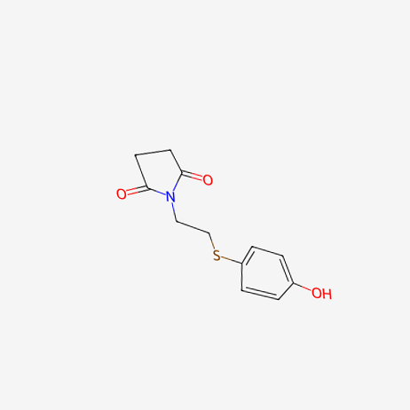 O=C1CCC(=O)N1CCSc1ccc(O)cc1